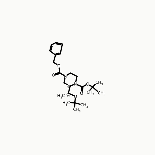 C[C@@H](OC(C)(C)C)[C@H]1CN(C(=O)OCc2ccccc2)CCN1C(=O)OC(C)(C)C